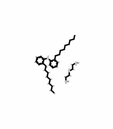 CCCCCCCCCc1ccccc1Oc1ccccc1CCCCCCCCC.OCCOCCO